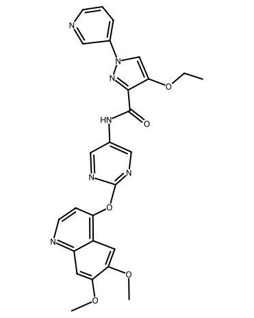 CCOc1cn(-c2cccnc2)nc1C(=O)Nc1cnc(Oc2ccnc3cc(OC)c(OC)cc23)nc1